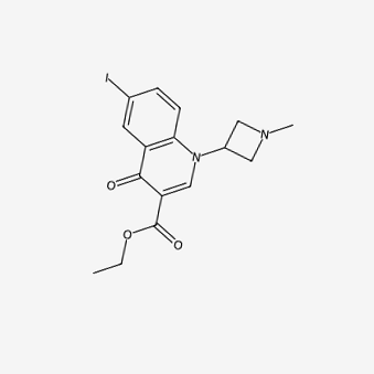 CCOC(=O)c1cn(C2CN(C)C2)c2ccc(I)cc2c1=O